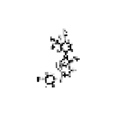 N#Cc1ccc(N2C[C@@H]3CN(Cc4ccc(F)cc4)CCN3C2=O)cc1C(F)(F)F